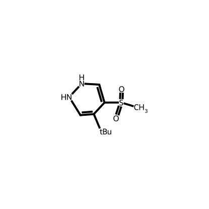 CC(C)(C)C1=CNNC=C1S(C)(=O)=O